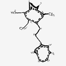 Oc1ccc(Cl)c(CCc2ccccc2)c1Cl